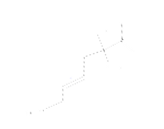 CCCCCCC/C=C/CC(C)(C)C(=O)Cl